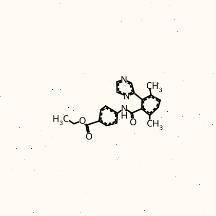 CCOC(=O)c1ccc(NC(=O)c2c(C)ccc(C)c2-c2cnccn2)cc1